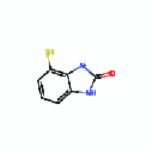 O=C1[N]c2c(S)cccc2N1